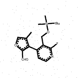 Cc1coc(C=O)c1-c1ccnc(F)c1CO[Si](C)(C)C(C)(C)C